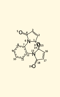 O=C1C=CC(=O)N1c1[c]cccc1N1C(=O)C=CC1=O